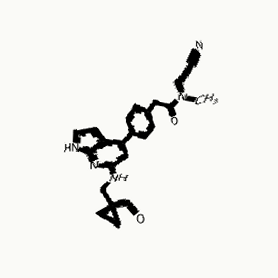 CN(CC#N)C(=O)Cc1ccc(-c2cc(NCC3(C=O)CC3)nc3[nH]ccc23)cc1